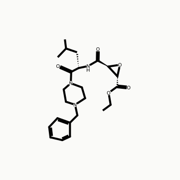 CCOC(=O)[C@H]1O[C@@H]1C(=O)N[C@@H](CC(C)C)C(=O)N1CCN(Cc2ccccc2)CC1